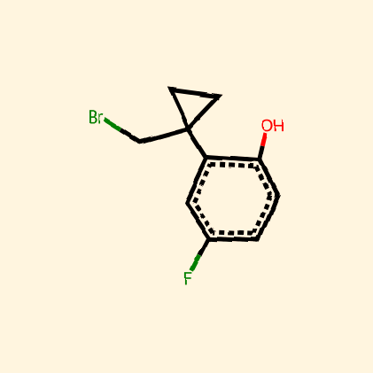 Oc1ccc(F)cc1C1(CBr)CC1